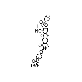 CC(C)(C)OC(=O)N1CCC2(CC1)CC(n1cnc3ccc(Oc4c(F)ccc(NS(=O)(=O)C5CCOCC5)c4C#N)cc3c1=O)C2